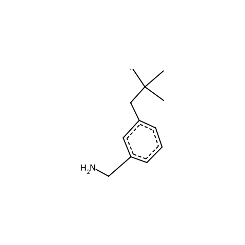 [CH2]C(C)(C)Cc1cccc(CN)c1